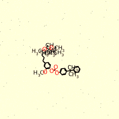 COc1cc(CCC[Si](C)(C)O[Si](C)(C)O[Si](C)(C)C)ccc1OC(=O)Oc1ccc(C(C)(C)c2ccccc2)cc1